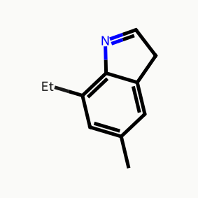 CCc1cc(C)cc2c1N=CC2